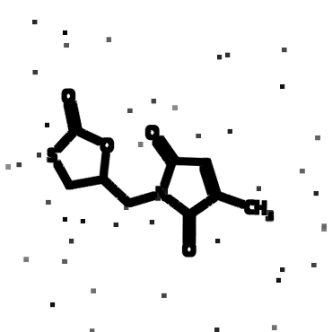 CC1=CC(=O)N(CC2CSC(=O)O2)C1=O